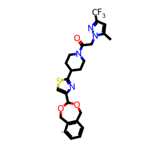 Cc1cc(C(F)(F)F)nn1CC(=O)N1CCC(c2nc(C3OCc4[c]cccc4CO3)cs2)CC1